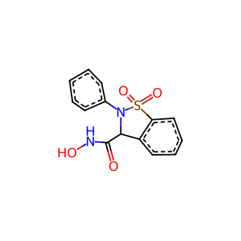 O=C(NO)C1c2ccccc2S(=O)(=O)N1c1ccccc1